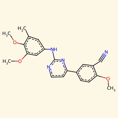 [CH2]c1cc(Nc2nccc(-c3ccc(OC)c(C#N)c3)n2)cc(OC)c1OC